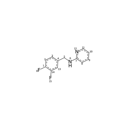 Fc1ccc(CNc2ccccn2)cc1F